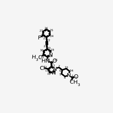 CC(=O)N1CCC(Cn2ncc(Cl)c2C(=O)Nc2ncc(C#Cc3ccccc3F)cc2C)CC1